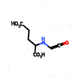 O=C=CNC(CCC(=O)O)C(=O)O